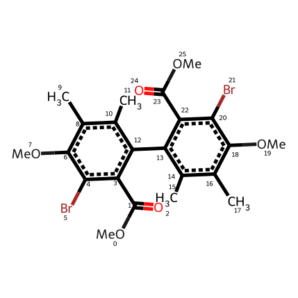 COC(=O)c1c(Br)c(OC)c(C)c(C)c1-c1c(C)c(C)c(OC)c(Br)c1C(=O)OC